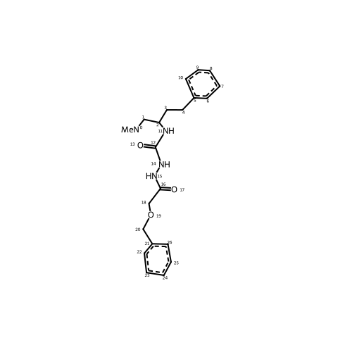 CNCC(CCc1ccccc1)NC(=O)NNC(=O)COCc1ccccc1